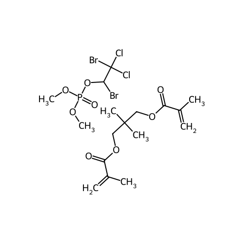 C=C(C)C(=O)OCC(C)(C)COC(=O)C(=C)C.COP(=O)(OC)OC(Br)C(Cl)(Cl)Br